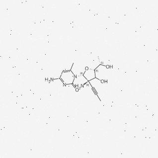 CC#C[C@@]1(N)C(O)[C@@H]([C@H](C)O)O[C@H]1n1c(C)cc(N)nc1=O